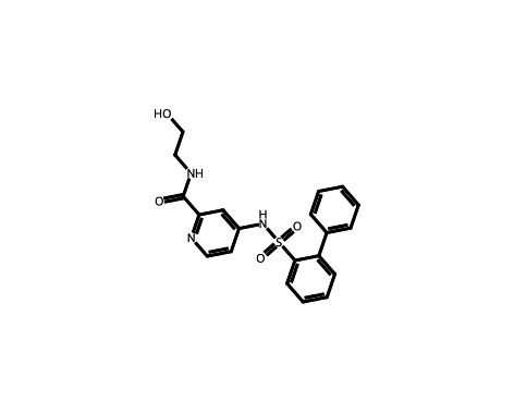 O=C(NCCO)c1cc(NS(=O)(=O)c2ccccc2-c2ccccc2)ccn1